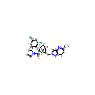 N#Cc1ccc2nn(CC3C[C@H](C(=O)N4N=CCC4c4cc(F)cc(F)c4)C4CC3C4)cc2n1